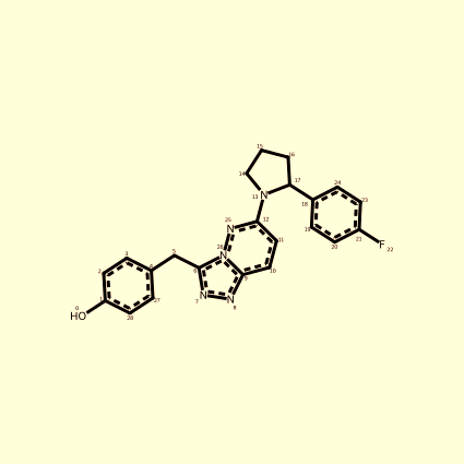 Oc1ccc(Cc2nnc3ccc(N4CCCC4c4ccc(F)cc4)nn23)cc1